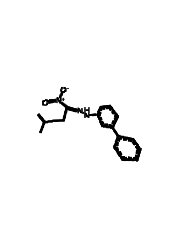 CC(C)C/C(=N\Nc1cccc(-c2ccccc2)c1)[N+](=O)[O-]